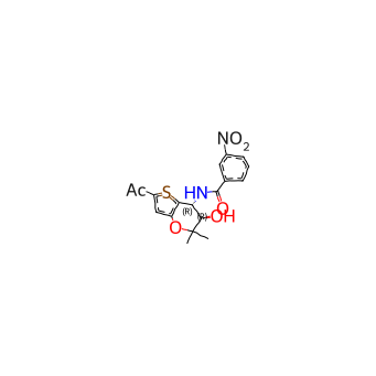 CC(=O)c1cc2c(s1)[C@H](NC(=O)c1cccc([N+](=O)[O-])c1)[C@@H](O)C(C)(C)O2